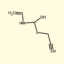 C#CCSC(O)NC=C